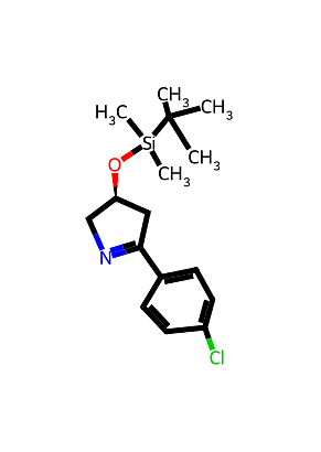 CC(C)(C)[Si](C)(C)O[C@@H]1CN=C(c2ccc(Cl)cc2)C1